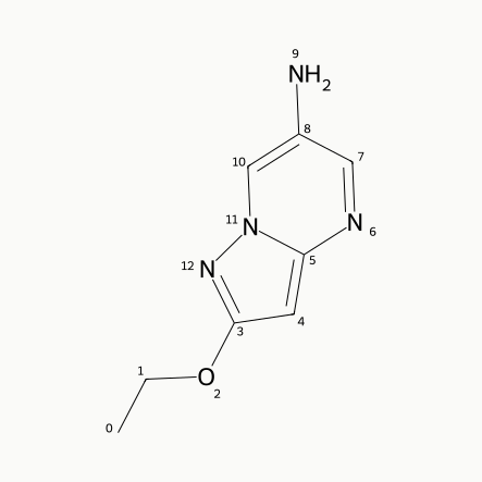 CCOc1cc2ncc(N)cn2n1